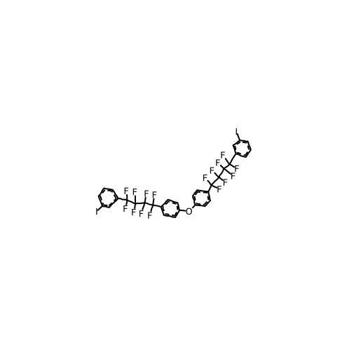 FC(F)(c1ccc(Oc2ccc(C(F)(F)C(F)(F)C(F)(F)C(F)(F)c3cccc(I)c3)cc2)cc1)C(F)(F)C(F)(F)C(F)(F)c1cccc(I)c1